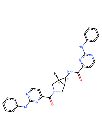 O=C(N[C@H]1C2CN(C(=O)c3ccnc(Nc4ccccc4)n3)C[C@@H]21)c1ccnc(Nc2ccccc2)n1